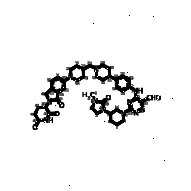 CN1CCN(C2CCCN(c3nnc(C=O)c(Nc4ccc(C5CCN(CC6CCN(c7ccc8c(c7)C(=O)N(C7CCC(=O)NC7=O)C8)CC6)CC5)cc4)n3)C2)C1=O